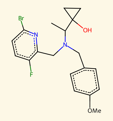 COc1ccc(CN(Cc2nc(Br)ccc2F)C(C)C2(O)CC2)cc1